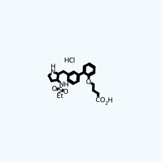 CCS(=O)(=O)NC1CCNC1Cc1cccc(-c2ccccc2OCCCC(=O)O)c1.Cl